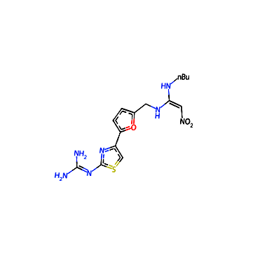 CCCCN/C(=C/[N+](=O)[O-])NCc1ccc(-c2csc(N=C(N)N)n2)o1